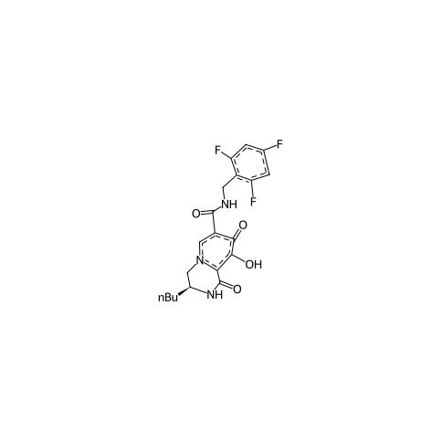 CCCC[C@H]1Cn2cc(C(=O)NCc3c(F)cc(F)cc3F)c(=O)c(O)c2C(=O)N1